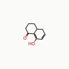 O=C1CCCC2CC=CC(O)=C12